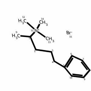 CC(CCCc1ccccc1)[N+](C)(C)C.[Br-]